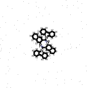 c1ccc2cc3c(cc2c1)/N=C(/n1c2ccccc2c2ccccc21)c1cc2ccccc2cc1/N=C\3n1c2ccccc2c2ccccc21